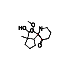 COCC1(C2CCCC2(C)C(=O)O)C(=O)C2CCN1CC2